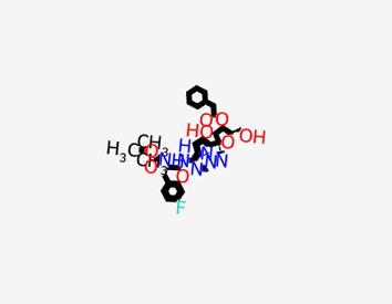 CC(C)(C)OC(=O)N[C@@H](Cc1ccc(F)cc1)C(=O)Nc1ncnn2c([C@]3(C#N)O[C@H](CO)[C@@H](OC(=O)CC4CCCCC4)[C@H]3O)ccc12